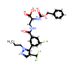 CCCn1ncc(C(F)F)c1-c1cc(F)cc(C(=O)NCC(NC(=O)OCc2ccccc2)C(=O)O)c1